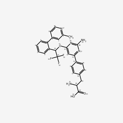 Cc1cc(-c2ccccc2C(Oc2cc(-c3ccc(CC(N)C(=O)O)cc3)nc(N)n2)C(F)(F)F)ccn1